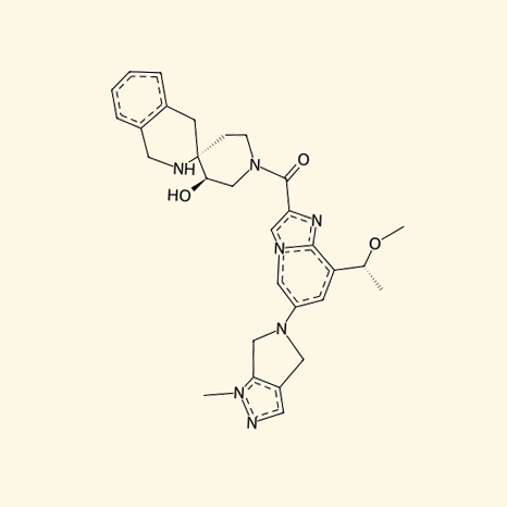 CO[C@H](C)c1cc(N2Cc3cnn(C)c3C2)cn2cc(C(=O)N3CC[C@]4(Cc5ccccc5CN4)[C@H](O)C3)nc12